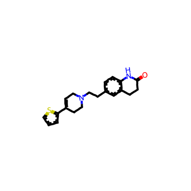 O=C1CCc2cc(CCN3CC=C(c4cccs4)CC3)ccc2N1